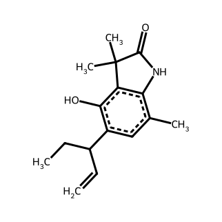 C=CC(CC)c1cc(C)c2c(c1O)C(C)(C)C(=O)N2